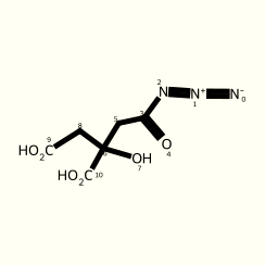 [N-]=[N+]=NC(=O)CC(O)(CC(=O)O)C(=O)O